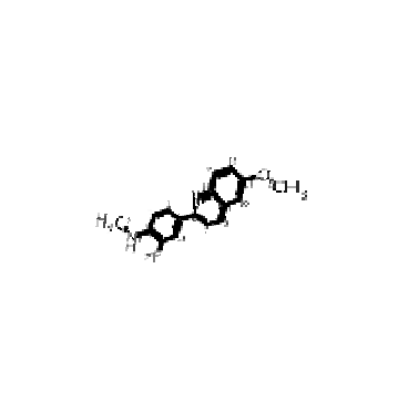 CNc1ccc(-c2ccc3cc(OC)ccc3n2)cc1F